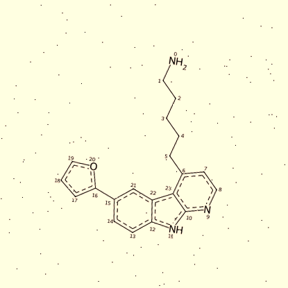 NCCCCCc1ccnc2[nH]c3ccc(-c4ccco4)cc3c12